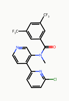 CN(C(=O)c1cc(C(F)(F)F)cc(C(F)(F)F)c1)c1cnccc1-c1cccc(Cl)n1